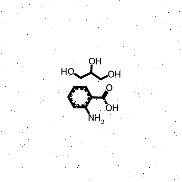 Nc1ccccc1C(=O)O.OCC(O)CO